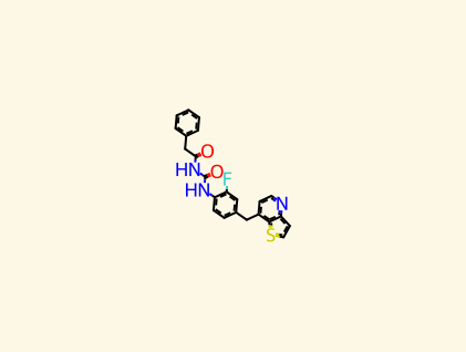 O=C(Cc1ccccc1)NC(=O)Nc1ccc(Cc2ccnc3ccsc23)cc1F